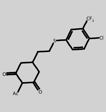 CC(=O)C1C(=O)CC(CCSc2ccc(Cl)c(C(F)(F)F)c2)CC1=O